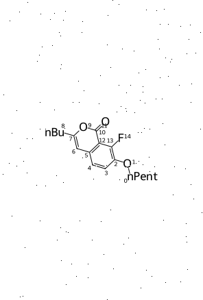 CCCCCOc1ccc2cc(CCCC)oc(=O)c2c1F